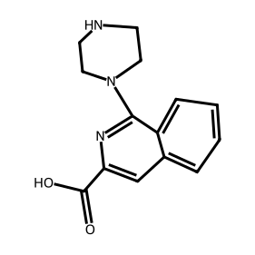 O=C(O)c1cc2ccccc2c(N2CCNCC2)n1